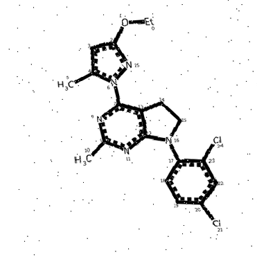 CCOc1cc(C)n(-c2nc(C)nc3c2CCN3c2ccc(Cl)cc2Cl)n1